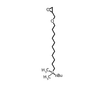 CCCC[Si](C)(C)CCCCCCCCCCCOCC1CO1